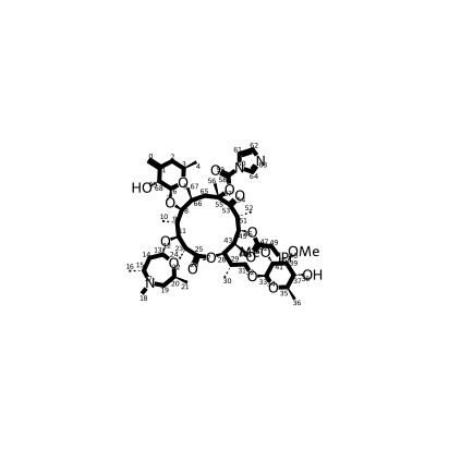 C=C1C[C@@H](C)O[C@@H](O[C@@H]2[C@@H](C)[C@H](O[C@H]3C[C@@H](C)N(C)C[C@H](C)O3)[C@@H](C)C(=O)O[C@H]([C@@H](C)CO[C@@H]3O[C@H](C)[C@@H](O)[C@@H](OC)[C@H]3OC)[C@H](C)[C@@H](OC(=O)CC(C)C)[C@@H](C)C(=O)[C@@](C)(OC(=O)n3ccnc3)C[C@@H]2C)[C@@H]1O